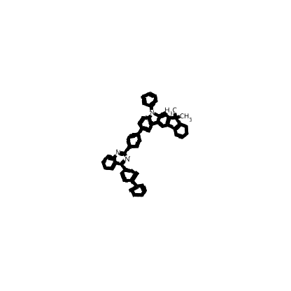 CC1(C)C2=C(C=CCC2)c2cc3c4cc(C5=CCC(c6nc(-c7ccc(-c8ccccc8)cc7)c7c(n6)=CCCC=7)C=C5)ccc4n(-c4ccccc4)c3cc21